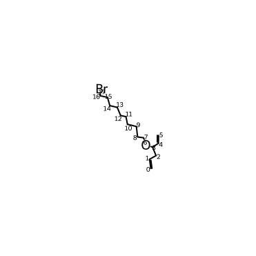 C=CCC(C=C)OCCCCCCCCCCBr